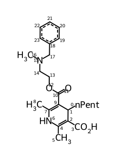 CCCCCC1C(C(=O)O)=C(C)NC(C)=C1C(=O)OCCN(C)Cc1ccccc1